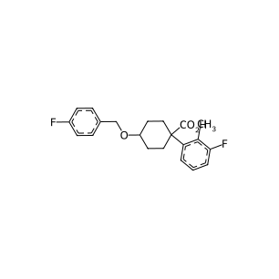 Cc1c(F)cccc1C1(C(=O)O)CCC(OCc2ccc(F)cc2)CC1